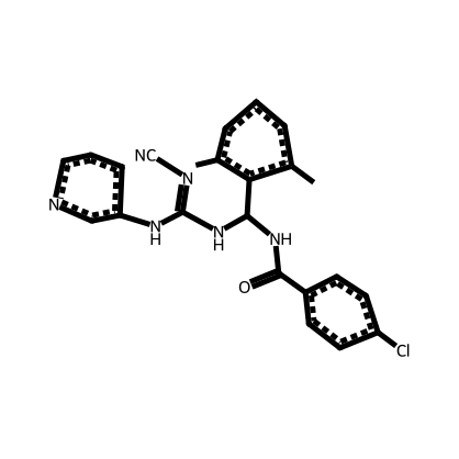 Cc1cccc(C)c1C(NC(=O)c1ccc(Cl)cc1)N/C(=N/C#N)Nc1cccnc1